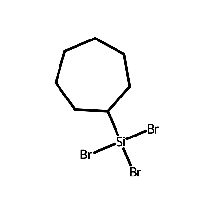 Br[Si](Br)(Br)C1CCCCCC1